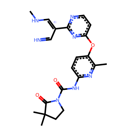 CN/C=C(\C=N)c1nccc(Oc2ccc(NC(=O)N3CCC(C)(C)C3=O)nc2C)n1